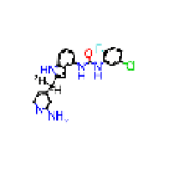 [2H]C([2H])(c1ccnc(N)c1)c1cc2c(NC(=O)Nc3cc(Cl)ccc3F)cccc2[nH]1